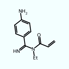 C=CC(=O)N(CC)C(=N)c1ccc(N)cc1